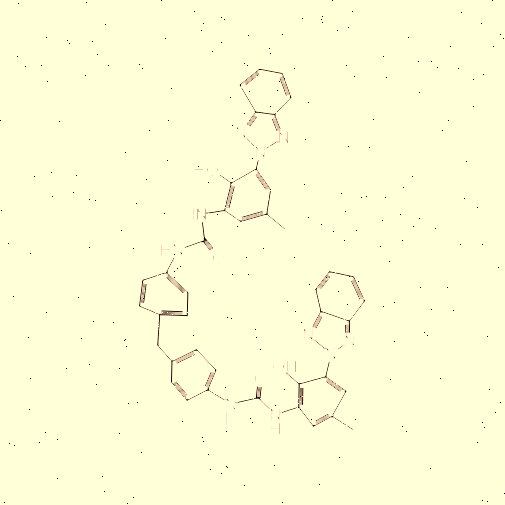 Cc1cc(NC(=O)Nc2ccc(Cc3ccc(NC(=O)Nc4cc(C)cc(-n5nc6ccccc6n5)c4O)cc3)cc2)c(O)c(-n2nc3ccccc3n2)c1